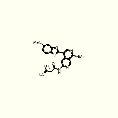 C=C(C)CC(=O)Nc1cc2c(-c3nc4cc(OC)ccc4o3)cnc(NC)c2cn1